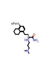 CCCCCc1ccc(CC[C@H](NCCCN(C)C)C(N)=O)c2c1CCCC2